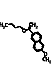 C=C(OCCCC)c1ccc2cc(OC)ccc2c1